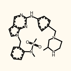 CC1CN(Cc2ccc(Nc3ncc4ccn(Cc5ccccc5N(C)S(C)(=O)=O)c4n3)cc2)CCN1